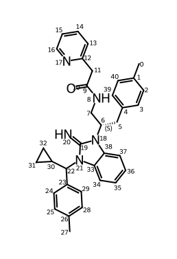 Cc1ccc(C[C@@H](CNC(=O)Cc2ccccn2)n2c(=N)n(C(c3ccc(C)cc3)C3CC3)c3ccccc32)cc1